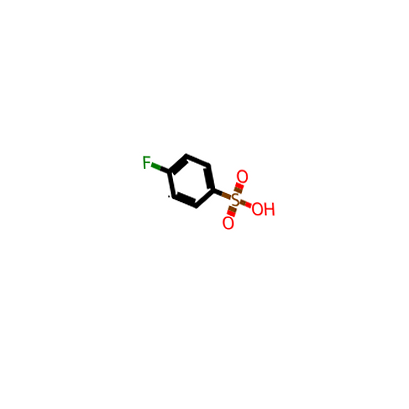 O=S(=O)(O)c1c[c]c(F)cc1